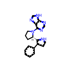 c1ccc(-c2cc[nH]c2[C@@H]2CCCN2c2ncnc3[nH]cnc23)cc1